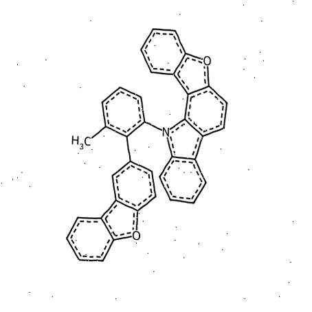 Cc1cccc(-n2c3ccccc3c3ccc4oc5ccccc5c4c32)c1-c1ccc2oc3ccccc3c2c1